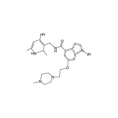 CCCC1=C(CNC(=O)c2cc(OCCN3CCN(C)CC3)cc3c2ccn3C(C)C)C(C)NC(C)=C1